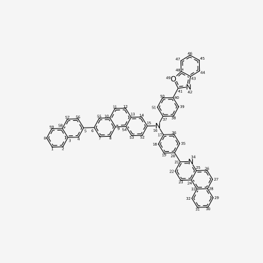 c1ccc2cc(-c3ccc4c(ccc5cc(N(c6ccc(-c7ccc8c(ccc9ccccc98)n7)cc6)c6ccc(-c7nc8ccccc8o7)cc6)ccc54)c3)ccc2c1